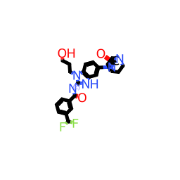 O=C(/N=c1\[nH]c2cc(N3C(=O)CN4CCC3CC4)ccc2n1CCCO)c1cccc(C(F)F)c1